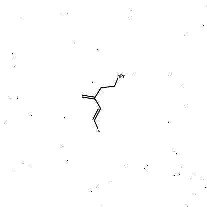 C=C(C=CC)CCCCC